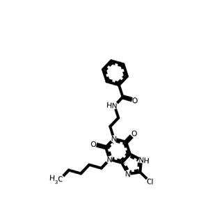 CCCCCn1c(=O)n(CCNC(=O)c2ccccc2)c(=O)c2[nH]c(Cl)nc21